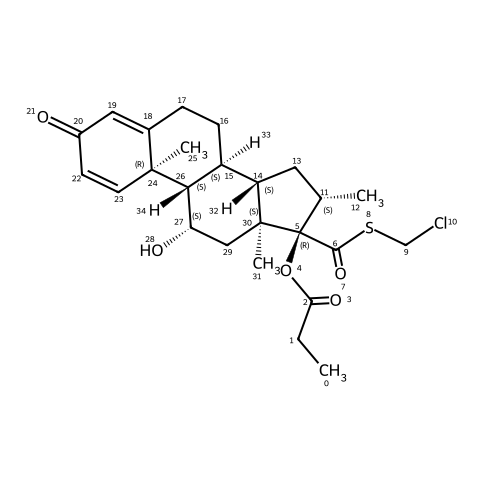 CCC(=O)O[C@]1(C(=O)SCCl)[C@@H](C)C[C@H]2[C@@H]3CCC4=CC(=O)C=C[C@]4(C)[C@H]3[C@@H](O)C[C@@]21C